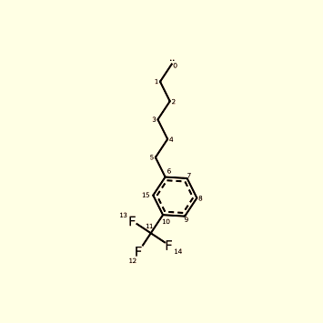 [CH]CCCCCc1cccc(C(F)(F)F)c1